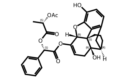 CC(=O)O[C@@H](C)C(=O)O[C@H](C(=O)OC1=CC[C@@]2(O)[C@@H]3CCC[C@@]24c2c(ccc(O)c2O[C@@H]14)C3)c1ccccc1